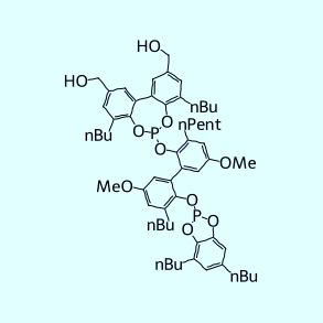 CCCCCc1cc(OC)cc(-c2cc(OC)cc(CCCC)c2OP2Oc3cc(CCCC)cc(CCCC)c3O2)c1Op1oc2c(CCCC)cc(CO)cc2c2cc(CO)cc(CCCC)c2o1